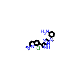 CN(C)c1ccc2ccc(-c3c[nH]c4nc(N(C)[C@@H]5CCC[C@@H](N)C5)cnc34)c(Cl)c2n1